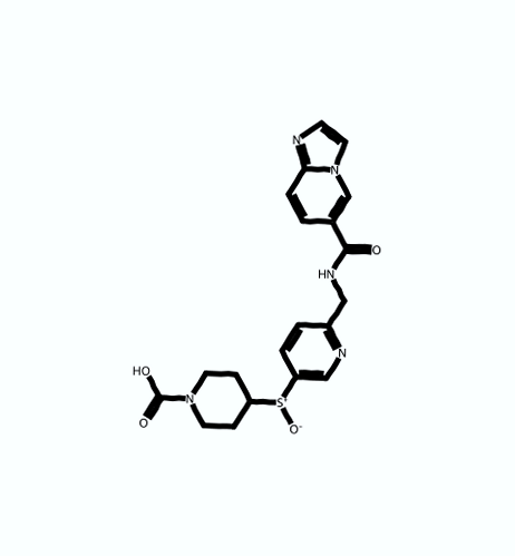 O=C(NCc1ccc([S+]([O-])C2CCN(C(=O)O)CC2)cn1)c1ccc2nccn2c1